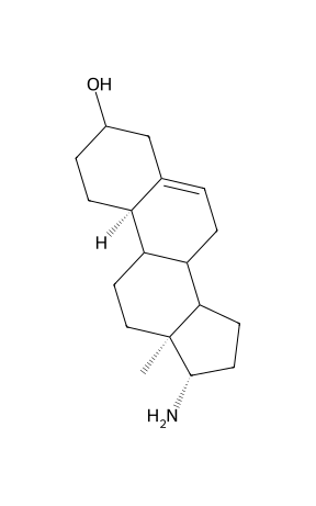 C[C@]12CCC3C(CC=C4CC(O)CC[C@@H]43)C1CC[C@@H]2N